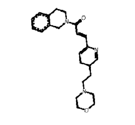 O=C(/C=C/C1=CCC(CCN2CCOCC2)C=N1)N1CCc2ccccc2C1